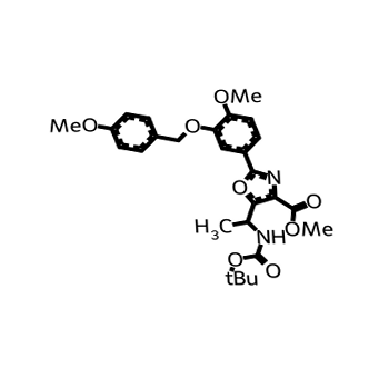 COC(=O)c1nc(-c2ccc(OC)c(OCc3ccc(OC)cc3)c2)oc1C(C)NC(=O)OC(C)(C)C